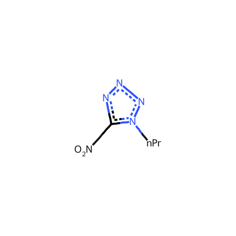 CCCn1nnnc1[N+](=O)[O-]